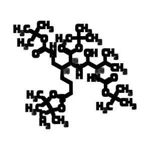 CC(C)[C@H](NC(=O)OC(C)(C)C)C(O)N[C@H](C(=O)OC(C)(C)C)[C@@H](CCCB1OC(C)(C)C(C)(C)O1)CNC(=O)OC(C)(C)C